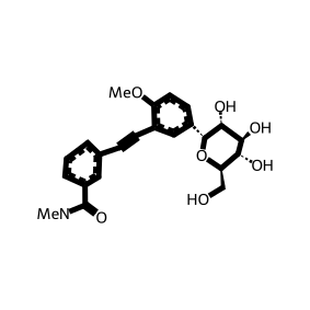 CNC(=O)c1cccc(C#Cc2cc([C@H]3O[C@H](CO)[C@@H](O)[C@H](O)[C@H]3O)ccc2OC)c1